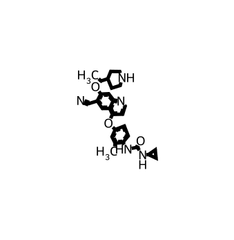 Cc1cc(Oc2ccnc3cc(OC(C)C4CCNCC4)c(C#N)cc23)ccc1NC(=O)NC1CC1